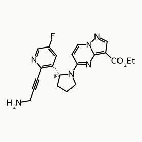 CCOC(=O)c1cnn2ccc(N3CCC[C@@H]3c3cc(F)cnc3C#CCN)nc12